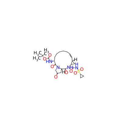 CC(C)(C)OC(=O)N[C@H]1CCCCC/C=C\[C@@H]2C[C@@]2(C(=O)NS(=O)(=O)C2CC2)NC(=O)[C@@H]2CC(=O)CN2C1=O